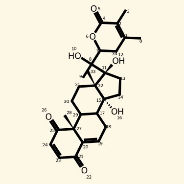 CC1=C(C)C(=O)OC(C(C)(O)[C@]2(O)CC[C@@]3(O)C4CC=C5C(=O)C=CC(=O)[C@]5(C)C4CC[C@@]32C)C1